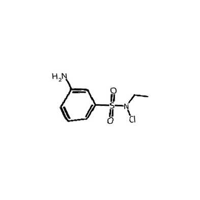 CCN(Cl)S(=O)(=O)c1cccc(N)c1